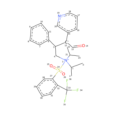 CC(C)[N+](CC(c1ccccc1)[C-](C=O)c1cccnc1)(C(C)C)S(=O)(=O)c1ccccc1C(F)(F)F